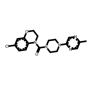 Cc1cnc(N2CCN(C(=O)N3CCOc4cc(Cl)ccc43)CC2)cn1